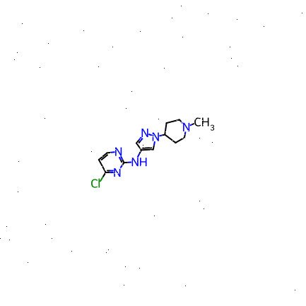 CN1CCC(n2cc(Nc3nccc(Cl)n3)cn2)CC1